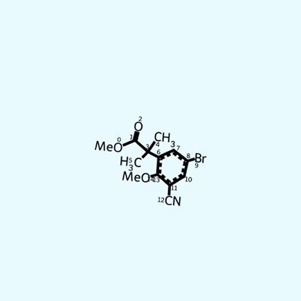 COC(=O)C(C)(C)c1cc(Br)cc(C#N)c1OC